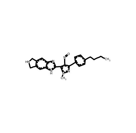 CCCCc1ccc(-c2nn(C)c(-c3nc4cc5c(cc4[nH]3)CNC5)c2N=O)cc1